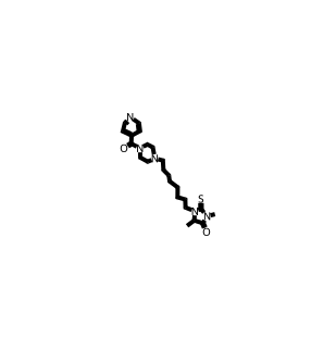 CC1C(=O)N(C)C(=S)N1CCCCCCCCN1CCN(C(=O)c2ccncc2)CC1